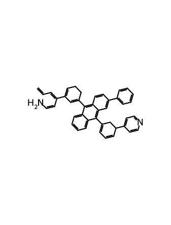 C=C/C=C(\C=C/N)C1=CCCC(c2c3ccccc3c(C3=CC=CC(c4ccncc4)C3)c3cc(-c4ccccc4)ccc23)=C1